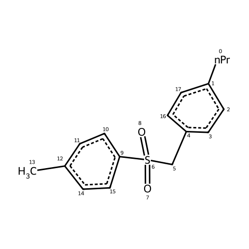 CCCc1ccc(CS(=O)(=O)c2ccc(C)cc2)cc1